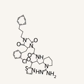 N=C(N)N1CCCCC1CC(NC(=O)CN1C(=O)CN(CCCc2ccccc2)C(=O)C1Cc1ccccc1Cl)C(=O)c1nccs1